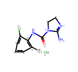 Cl.NC1=NCCN1C(=O)Nc1c(Cl)cccc1C(F)(F)F